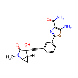 CN1C(=O)[C@@](O)(C#Cc2cccc(-c3nc(C(N)=O)c(N)s3)c2)[C@@H]2CC21